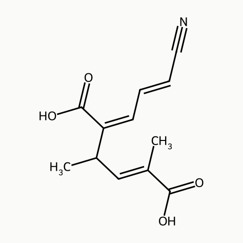 CC(=CC(C)C(=CC=CC#N)C(=O)O)C(=O)O